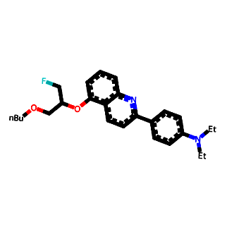 CCCCOCC(CF)Oc1cccc2nc(-c3ccc(N(CC)CC)cc3)ccc12